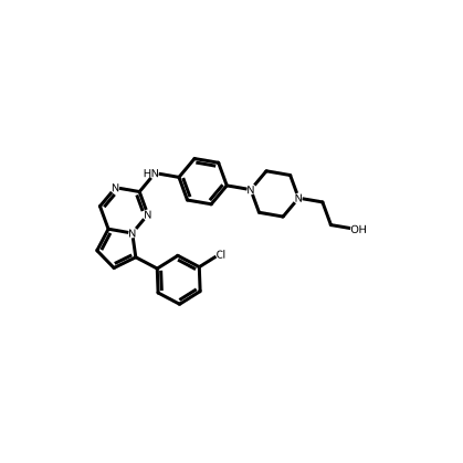 OCCN1CCN(c2ccc(Nc3ncc4ccc(-c5cccc(Cl)c5)n4n3)cc2)CC1